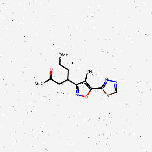 COCCC(CC(=O)OC)c1noc(-c2nncs2)c1C